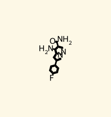 NC(=O)c1cnn2cc(-c3ccc(F)cc3)cc2c1N